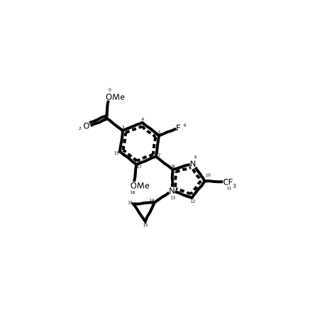 COC(=O)c1cc(F)c(-c2nc(C(F)(F)F)cn2C2CC2)c(OC)c1